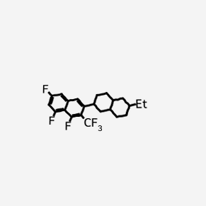 CCC1CCC2CC(c3cc4cc(F)cc(F)c4c(F)c3C(F)(F)F)CCC2C1